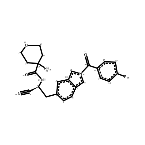 N#C[C@H](Cc1ccc2cn(C(=O)c3ccc(F)cc3)cc2c1)NC(=O)C1(N)CCOCC1